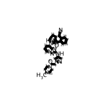 CN1CCN(C(=O)Cn2cc(Nc3nc4c(N5CC6CCC(C(=O)c7ccccc7CC#N)(C5)N6)cccn4n3)cn2)CC1